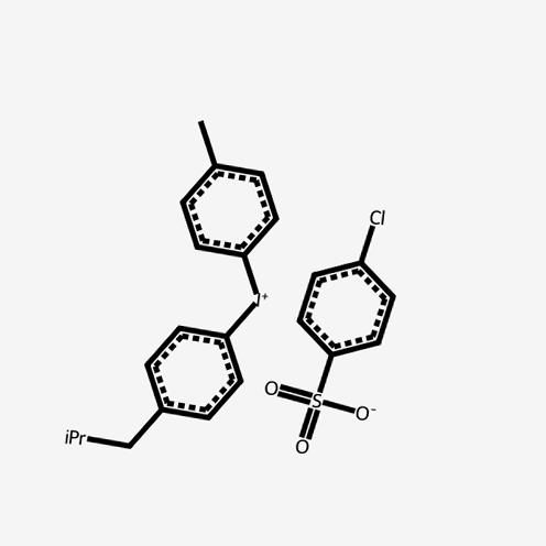 Cc1ccc([I+]c2ccc(CC(C)C)cc2)cc1.O=S(=O)([O-])c1ccc(Cl)cc1